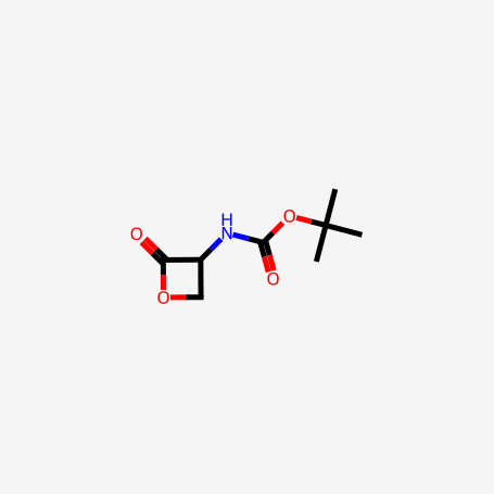 CC(C)(C)OC(=O)NC1COC1=O